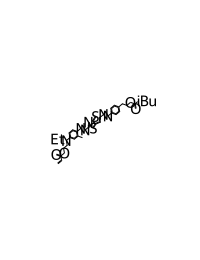 C=CC(=O)OCCN(CC)c1ccc(/N=N/c2nc3sc(/N=N/c4ccc(CCOC(=O)C(C)CC)cc4)cc3s2)c(C)c1